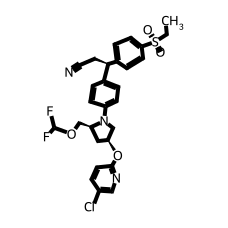 CCS(=O)(=O)c1ccc([C@H](CC#N)c2ccc(N3C[C@@H](Oc4ccc(Cl)cn4)C[C@H]3COC(F)F)cc2)cc1